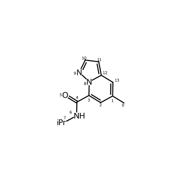 Cc1cc(C(=O)NC(C)C)n2nccc2c1